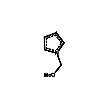 COCn1c[c]cc1